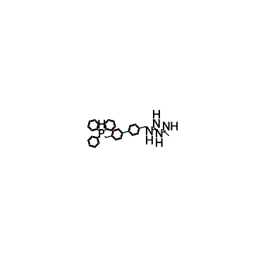 CC(=N)NC(=N)NCc1ccc(-c2ccc(C[PH](c3ccccc3)(c3ccccc3)c3ccccc3)cc2)cc1